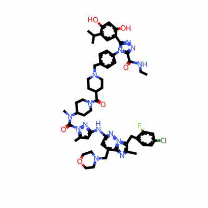 CCNC(=O)c1nnc(-c2cc(C(C)C)c(O)cc2O)n1-c1ccc(CN2CCC(C(=O)N3CCC(N(C)C(=O)n4nc(Nc5cc(CN6CCOCC6)c6nc(C)c(Cc7ccc(Cl)cc7F)n6n5)cc4C)CC3)CC2)cc1